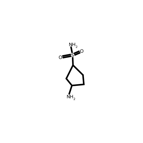 NC1CCC(S(N)(=O)=O)C1